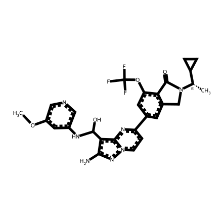 COc1cncc(NC(O)c2c(N)nn3ccc(-c4cc5c(c(OC(F)(F)F)c4)C(=O)N([C@@H](C)C4CC4)C5)nc23)c1